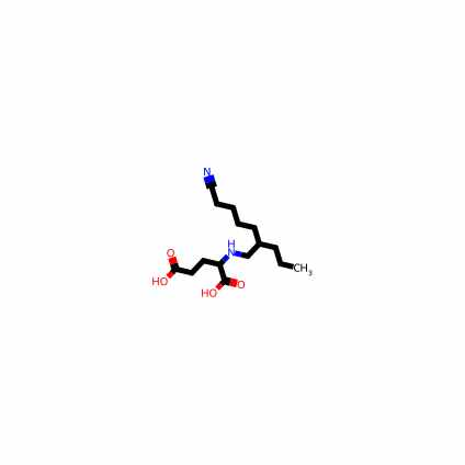 CCCC(CCCCC#N)CNC(CCC(=O)O)C(=O)O